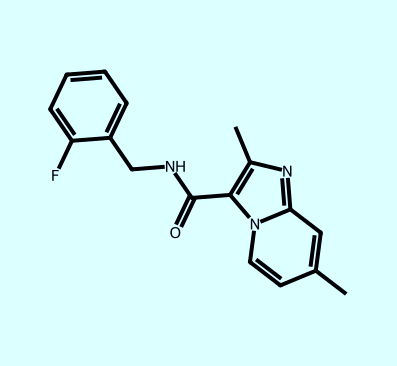 Cc1ccn2c(C(=O)NCc3ccccc3F)c(C)nc2c1